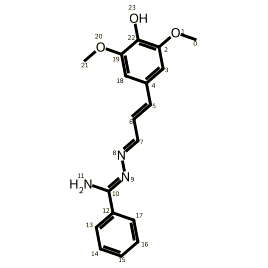 COc1cc(C=CC=NN=C(N)c2ccccc2)cc(OC)c1O